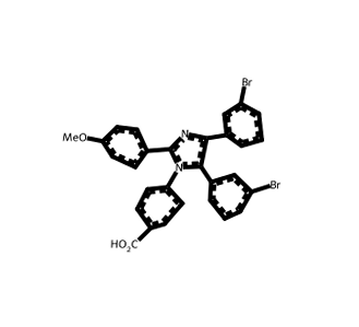 COc1ccc(-c2nc(-c3cccc(Br)c3)c(-c3cccc(Br)c3)n2-c2ccc(C(=O)O)cc2)cc1